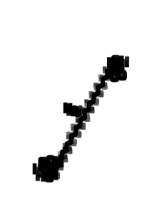 O=P([O-])([O-])C(CCCCCCCCCCCCCCCCCCCCCCCCC(=NO)P(=O)(O)O)=NO.[Na+].[Na+]